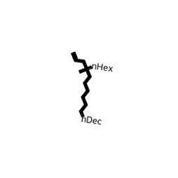 C=CCC(C)(CCCCCC)CCCCCCCCCCCCCCCC